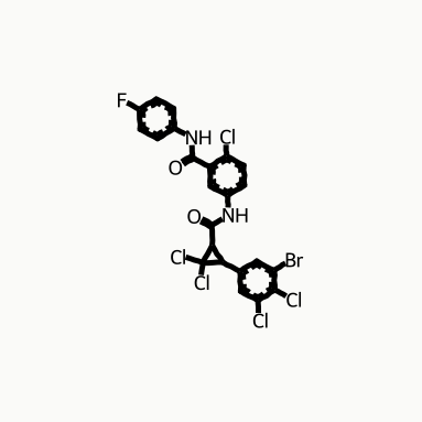 O=C(Nc1ccc(F)cc1)c1cc(NC(=O)C2C(c3cc(Cl)c(Cl)c(Br)c3)C2(Cl)Cl)ccc1Cl